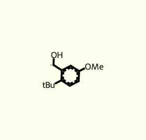 COc1ccc(C(C)(C)C)c([CH]O)c1